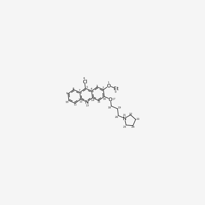 CCOc1cc2c(Cl)c3ccccc3nc2cc1OCCCN1CCCC1